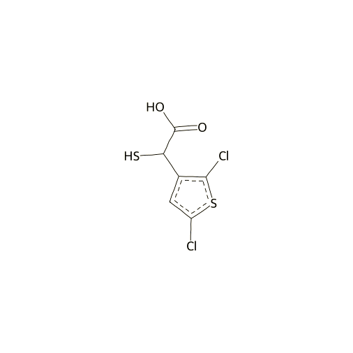 O=C(O)C(S)c1cc(Cl)sc1Cl